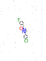 O=C(Cc1ccc(F)cc1)N1CCC(c2ccc(Cl)cc2)=N1